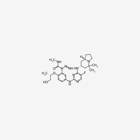 CNC(=O)N(N=N)c1cc(Nc2ncc(F)c(N[C@@H]3C[C@@H]4CCCN4C(C)(C)C3)n2)ccc1O[C@@H](C)CO